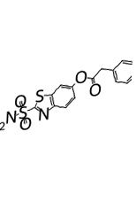 NS(=O)(=O)c1nc2ccc(OC(=O)Cc3ccccc3)cc2s1